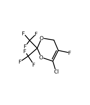 FC1=C(Cl)OC(C(F)(F)F)(C(F)(F)F)OC1